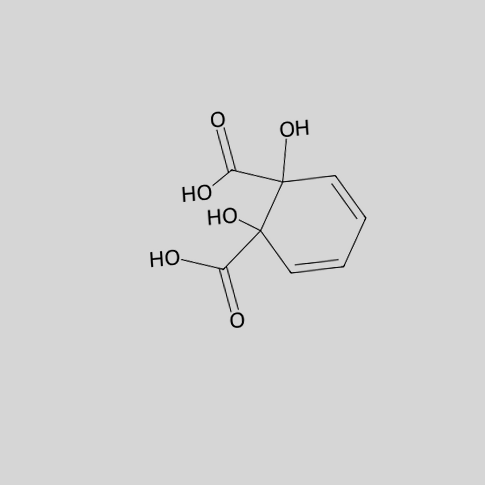 O=C(O)C1(O)C=CC=CC1(O)C(=O)O